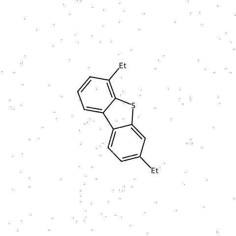 CCc1ccc2c(c1)sc1c(CC)cccc12